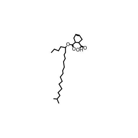 CCCCC(CCCCCCCCCCCCCC(C)C)OC(=O)C1CC=CCC1C(=O)O